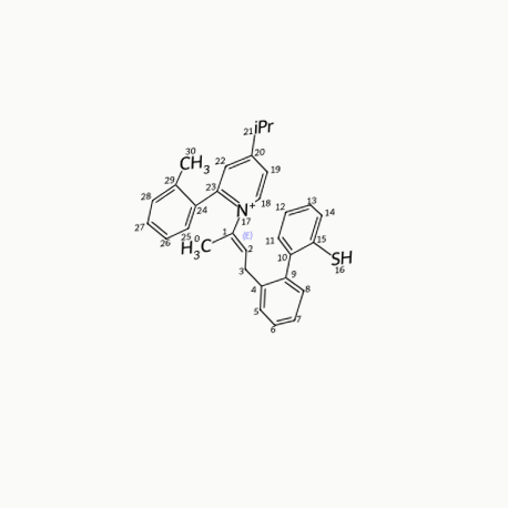 C/C(=C\Cc1ccccc1-c1ccccc1S)[n+]1ccc(C(C)C)cc1-c1ccccc1C